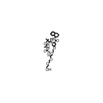 CNC(=O)OC(C)C(=O)NC(C(=O)N1C[C@@H](OCCOCCOCCOCCO)C[C@H]1C(=O)N[C@@H]1CCCc2ccccc21)C(C)(C)C